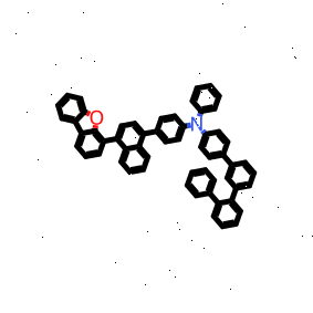 c1ccc(-c2ccccc2-c2cccc(-c3ccc(N(c4ccccc4)c4ccc(-c5ccc(-c6cccc7c6oc6ccccc67)c6ccccc56)cc4)cc3)c2)cc1